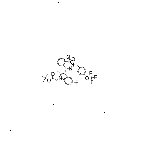 Cc1c(C2=NN(Cc3ccc(OC(F)(F)F)cc3)S(=O)(=O)c3ccccc32)c2cc(F)ccc2n1CC(=O)OC(C)(C)C